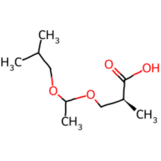 CC(C)COC(C)OC[C@H](C)C(=O)O